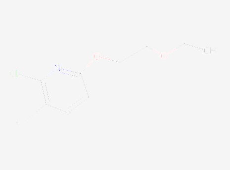 CCOCCOc1ccc(Cl)c(Cl)n1